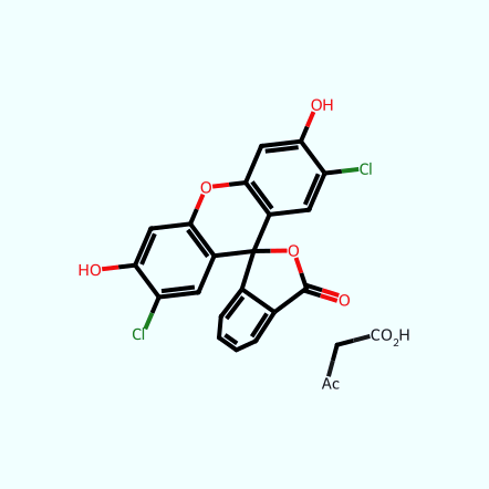 CC(=O)CC(=O)O.O=C1OC2(c3cc(Cl)c(O)cc3Oc3cc(O)c(Cl)cc32)c2ccccc21